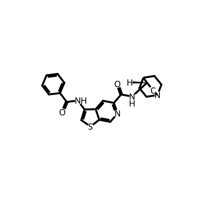 O=C(Nc1csc2cnc(C(=O)N[C@H]3CN4CCC3CC4)cc12)c1ccccc1